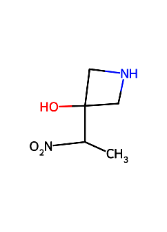 CC([N+](=O)[O-])C1(O)CNC1